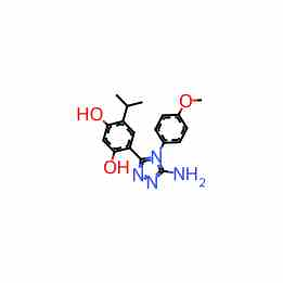 COc1ccc(-n2c(N)nnc2-c2cc(C(C)C)c(O)cc2O)cc1